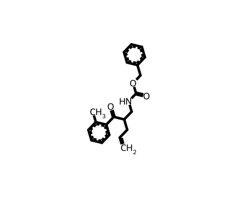 C=CCC(CNC(=O)OCc1ccccc1)C(=O)c1ccccc1C